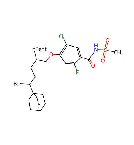 CCCCCC(CCC(CCCC)C12CCC(CC1)CC2)COc1cc(F)c(C(=O)NS(C)(=O)=O)cc1Cl